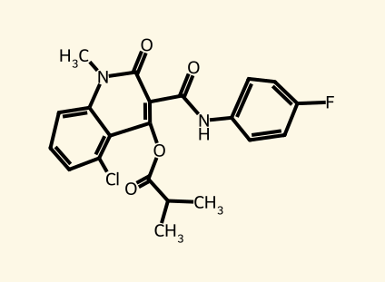 CC(C)C(=O)Oc1c(C(=O)Nc2ccc(F)cc2)c(=O)n(C)c2cccc(Cl)c12